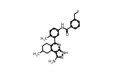 Cc1ccc(NC(=O)c2cccc(CF)c2)cc1-c1nc2[nH]nc(N)c2c2c1CCC(C)C2